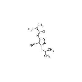 CC(C)Cc1nsc(N=C(Cl)N(C)C)c1C#N